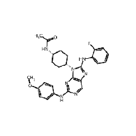 COc1ccc(Nc2ncc3nc(Nc4ccccc4F)n([C@H]4CC[C@@H](NC(C)=O)CC4)c3n2)cc1